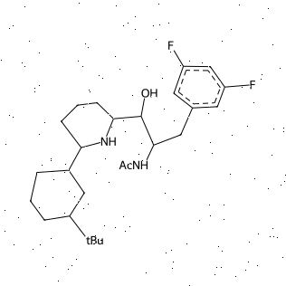 CC(=O)NC(Cc1cc(F)cc(F)c1)C(O)C1CCCC(C2CCCC(C(C)(C)C)C2)N1